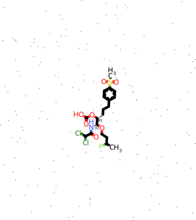 CC(F)CCO[C@H](NC(=O)C(Cl)Cl)[C@@H](CCCc1ccc(S(C)(=O)=O)cc1)OC(=O)O